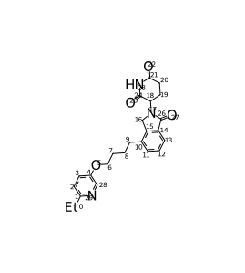 CCc1ccc(OCCCCc2cccc3c2CN(C2CCC(=O)NC2=O)C3=O)cn1